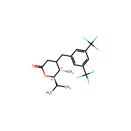 CC(C)[C@H]1OC(=O)CC(Cc2cc(C(F)(F)F)cc(C(F)(F)F)c2)[C@@H]1C